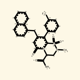 CN1CC(C(N)=O)n2c(c(-c3cccc(C(F)(F)F)c3)c(Cc3cccc4ccccc34)cc2=O)S1(=O)=O